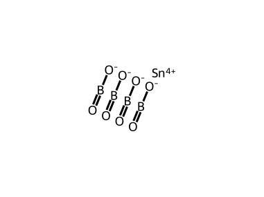 O=B[O-].O=B[O-].O=B[O-].O=B[O-].[Sn+4]